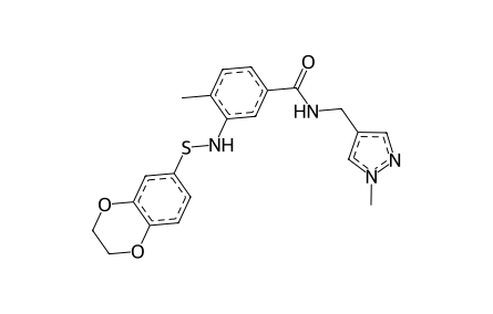 Cc1ccc(C(=O)NCc2cnn(C)c2)cc1NSc1ccc2c(c1)OCCO2